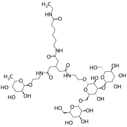 CCNC(=O)CCCCCNC(=O)CC(CC(=O)NCCO[C@@H]1O[C@@H](C)[C@@H](O)[C@@H](O)[C@@H]1O)CC(=O)NCCO[C@H]1O[C@H](CO[C@H]2O[C@H](CO)[C@@H](O)[C@H](O)[C@@H]2O)[C@@H](O)[C@H](O[C@H]2O[C@H](CO)[C@@H](O)[C@H](O)[C@@H]2O)[C@@H]1O